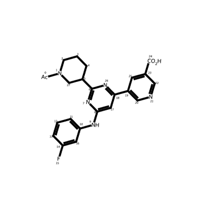 CC(=O)N1CCCC(c2nc(Nc3cccc(F)c3)cc(-c3cncc(C(=O)O)c3)n2)C1